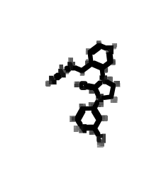 [N-]=[N+]=NCc1ccncc1N1CCN(c2ccnc(Cl)c2)C1=O